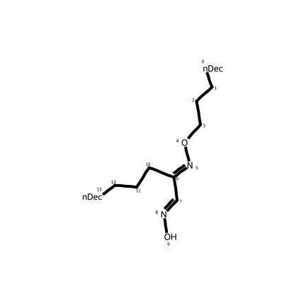 CCCCCCCCCCCCCON=C(C=NO)CCCCCCCCCCCCC